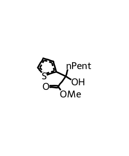 CCCCCC(O)(C(=O)OC)c1cccs1